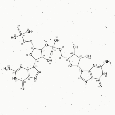 Nc1nc2c(ncn2[C@@H]2O[C@H](COP(=O)(O)OC3C(O)[C@H](n4cnc5c(=S)[nH]c(N)nc54)O[C@@H]3COP(O)(O)=S)C(O)C2O)c(=S)[nH]1